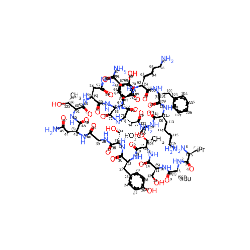 CC[C@H](C)[C@H](NC(=O)[C@@H](N)C(C)C)C(=O)N[C@@H](CO)C(=O)N[C@H](C(=O)N[C@@H](Cc1ccc(O)cc1)C(=O)N[C@@H](CO)C(=O)NCC(=O)N[C@@H](CC(N)=O)C(=O)N[C@H](C(=O)N[C@@H](CC(N)=O)C(=O)N[C@@H](Cc1ccc(O)cc1)C(=O)N[C@@H](CC(N)=O)C(=O)N[C@@H](CCC(N)=O)C(=O)N[C@@H](CCCCN)C(=O)N[C@@H](Cc1ccccc1)C(=O)N[C@@H](CCCCN)C(=O)NCC(=O)O)[C@@H](C)O)[C@@H](C)O